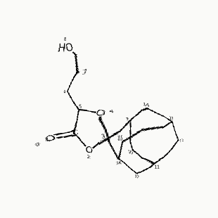 O=C1OC2(OC1CCO)C1CC3CC(C1)CC2C3